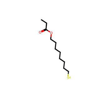 CCC(=O)OCCCCCCCCS